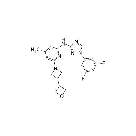 Cc1cc(Nc2ncn(-c3cc(F)cc(F)c3)n2)nc(N2CC(C3COC3)C2)c1